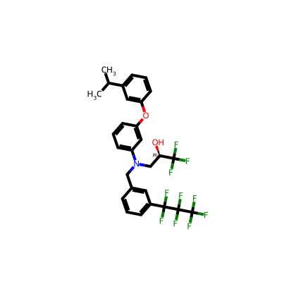 CC(C)c1cccc(Oc2cccc(N(Cc3cccc(C(F)(F)C(F)(F)C(F)(F)F)c3)C[C@@H](O)C(F)(F)F)c2)c1